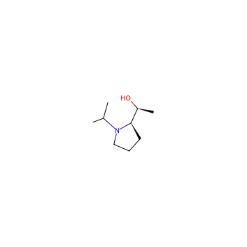 CC(C)N1CCC[C@@H]1[C@H](C)O